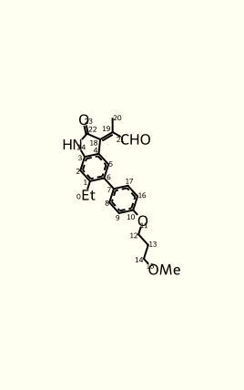 CCc1cc2c(cc1-c1ccc(OCCCOC)cc1)/C(=C(/C)C=O)C(=O)N2